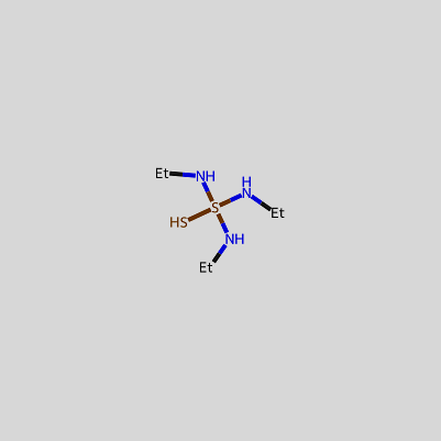 CCNS(S)(NCC)NCC